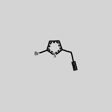 C#CCc1ccc(Br)s1